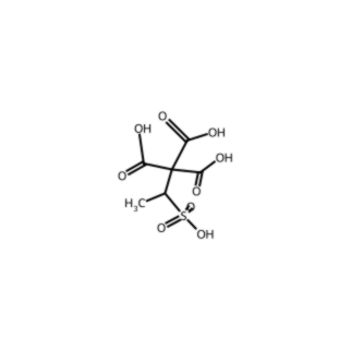 CC(C(C(=O)O)(C(=O)O)C(=O)O)S(=O)(=O)O